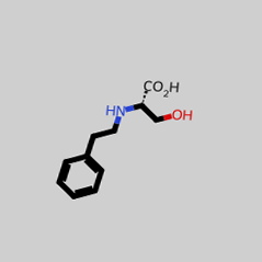 O=C(O)[C@H](CO)NCCc1ccccc1